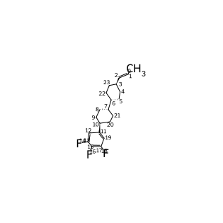 CC=C[C@H]1CC[C@H]([C@H]2CC[C@H](c3cc(F)c(F)c(F)c3)CC2)CC1